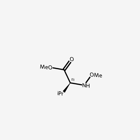 CON[C@H](C(=O)OC)C(C)C